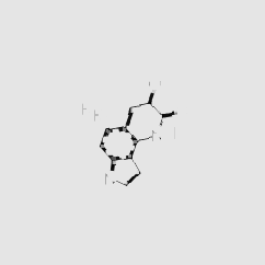 O=C1C=c2ccc3c(c2NC1=O)C=CN=3.[K].[K]